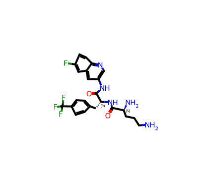 NCCC[C@H](N)C(=O)N[C@H](Cc1ccc(C(F)(F)F)cc1)C(=O)Nc1cnc2ccc(F)cc2c1